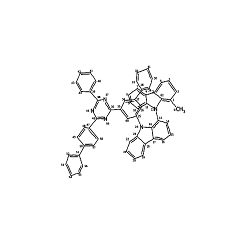 Cc1cccc2c3ccccc3n(-c3cccc4c5ccccc5n(-c5cc(-c6ccccc6)cc(-c6nc(-c7ccccc7)nc(-c7ccc(-c8ccccc8)cc7)n6)c5)c34)c12